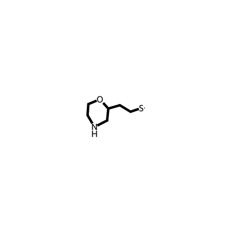 [S]CCC1CNCCO1